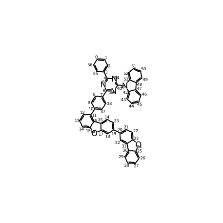 c1ccc(-c2nc(-c3ccc(-c4cccc5oc6cc(-c7ccc8oc9ccccc9c8c7)ccc6c45)cc3)nc(-n3c4ccccc4c4ccccc43)n2)cc1